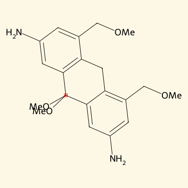 COCc1cc(N)cc(COC)c1Cc1c(COC)cc(N)cc1COC